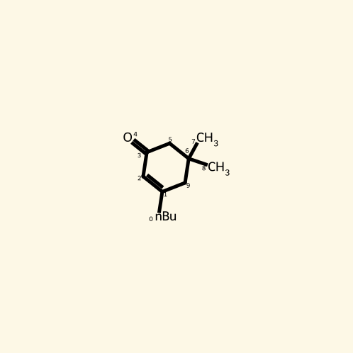 CCCCC1=CC(=O)CC(C)(C)C1